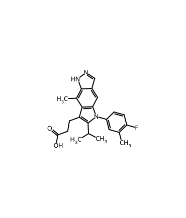 Cc1cc(-n2c(C(C)C)c(CCC(=O)O)c3c(C)c4[nH]ncc4cc32)ccc1F